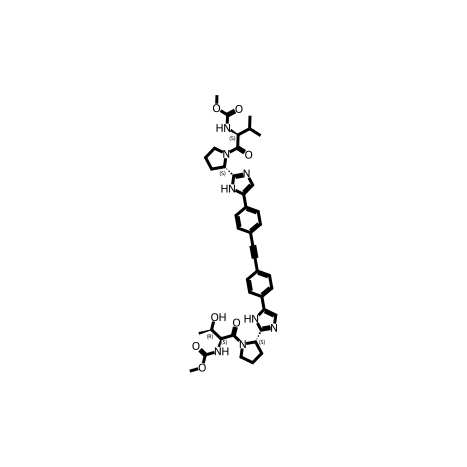 COC(=O)N[C@H](C(=O)N1CCC[C@H]1c1ncc(-c2ccc(C#Cc3ccc(-c4cnc([C@@H]5CCCN5C(=O)[C@@H](NC(=O)OC)[C@@H](C)O)[nH]4)cc3)cc2)[nH]1)C(C)C